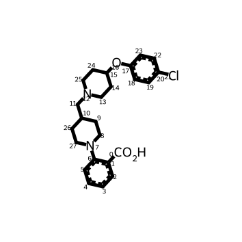 O=C(O)c1ccccc1N1CCC(CN2CCC(Oc3ccc(Cl)cc3)CC2)CC1